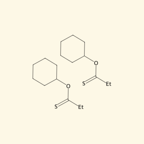 CCC(=S)OC1CCCCC1.CCC(=S)OC1CCCCC1